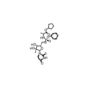 C[C@H](NP(=O)(OC[C@H]1O[C@@H](n2ccc(=O)[nH]c2=S)[C@](C)(O)C1O)Oc1ccccc1)C(=O)OC1CCCC1